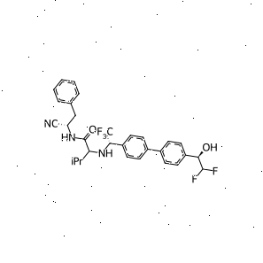 CC(C)C(N[C@@H](c1ccc(-c2ccc([C@@H](O)C(F)F)cc2)cc1)C(F)(F)F)C(=O)N[C@H](C#N)Cc1ccccc1